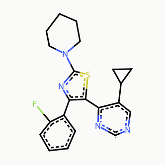 Fc1ccccc1-c1nc(N2CCCCC2)sc1-c1n[c]ncc1C1CC1